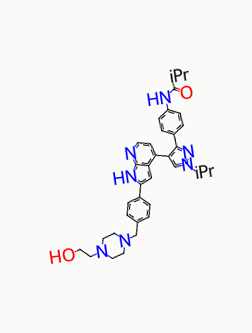 CC(C)C(=O)Nc1ccc(-c2nn(C(C)C)cc2-c2ccnc3[nH]c(-c4ccc(CN5CCN(CCO)CC5)cc4)cc23)cc1